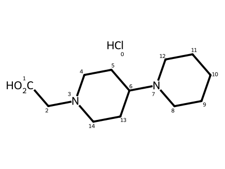 Cl.O=C(O)CN1CCC(N2CCCCC2)CC1